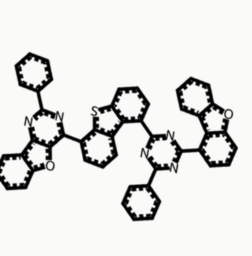 c1ccc(-c2nc(-c3cccc4oc5ccccc5c34)nc(-c3cccc4sc5c(-c6nc(-c7ccccc7)nc7c6oc6ccccc67)cccc5c34)n2)cc1